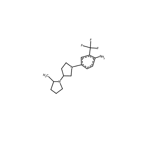 CC1CCCN1C1CCN(c2ccc(N)c(C(F)(F)F)c2)C1